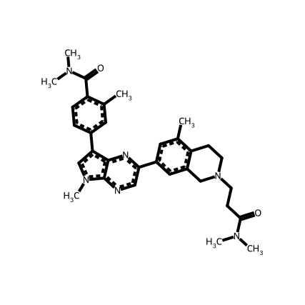 Cc1cc(-c2cn(C)c3ncc(-c4cc(C)c5c(c4)CN(CCC(=O)N(C)C)CC5)nc23)ccc1C(=O)N(C)C